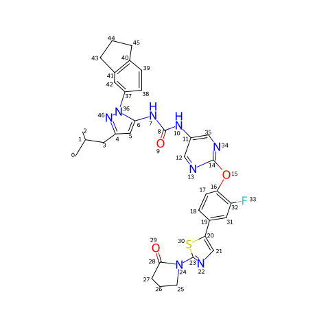 CC(C)Cc1cc(NC(=O)Nc2cnc(Oc3ccc(-c4cnc(N5CCCC5=O)s4)cc3F)nc2)n(-c2ccc3c(c2)CCC3)n1